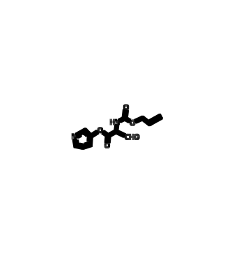 C=CCOC(=O)NC(C=O)C(=O)Oc1cccnc1